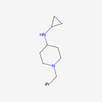 C[C](C)CN1CCC(NC2CC2)CC1